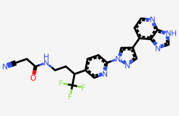 N#CCC(=O)NCCC(c1ccc(-n2cc(-c3ccnc4[nH]cnc34)cn2)nc1)C(F)(F)F